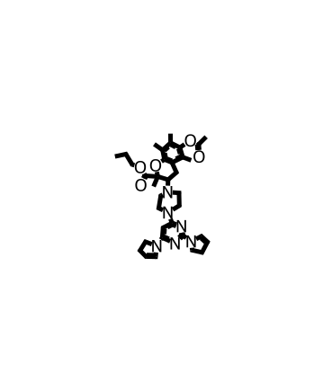 CCCOC(=O)C1(C)Oc2c(C)c(C)c(OC(C)=O)c(C)c2CC1N1CCN(c2cc(N3C=CCC3)nc(N3C=CCC3)n2)CC1